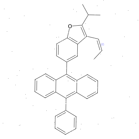 C/C=C\c1c(C(C)C)oc2ccc(-c3c4ccccc4c(-c4ccccc4)c4ccccc34)cc12